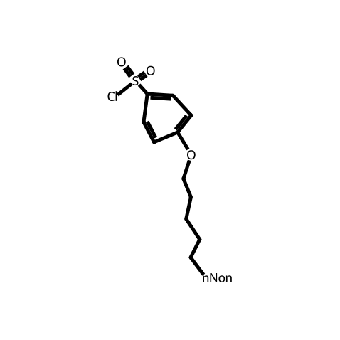 CCCCCCCCCCCCCCOc1ccc(S(=O)(=O)Cl)cc1